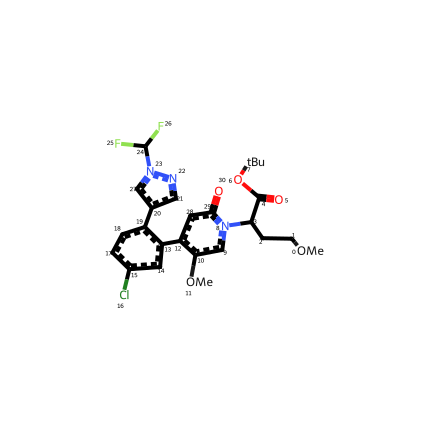 COCCC(C(=O)OC(C)(C)C)n1cc(OC)c(-c2cc(Cl)ccc2-c2cnn(C(F)F)c2)cc1=O